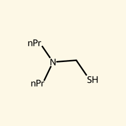 CCCN(CS)CCC